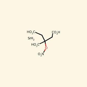 O=C(O)CC(CC(=O)O)(O[N+](=O)[O-])C(=O)O.[SrH2]